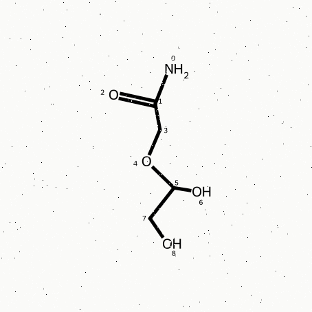 NC(=O)COC(O)CO